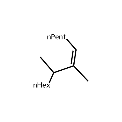 CCCCCC=C(C)C(C)CCCCCC